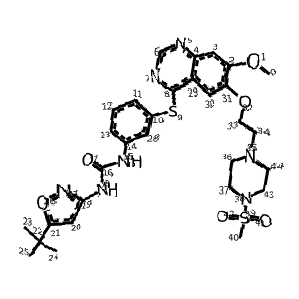 COc1cc2ncnc(Sc3cccc(NC(=O)Nc4cc(C(C)(C)C)on4)c3)c2cc1OCCN1CCN(S(C)(=O)=O)CC1